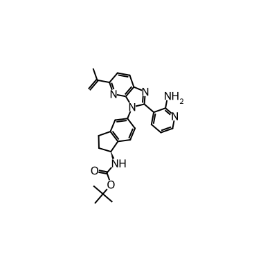 C=C(C)c1ccc2nc(-c3cccnc3N)n(-c3ccc4c(c3)CC[C@@H]4NC(=O)OC(C)(C)C)c2n1